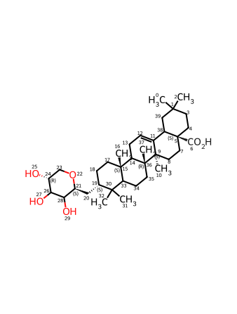 CC1(C)CC[C@]2(C(=O)O)CC[C@]3(C)C(=CCC4[C@@]5(C)CC[C@@H](C[C@@H]6OC[C@@H](O)C(O)C6O)C(C)(C)C5CC[C@]43C)C2C1